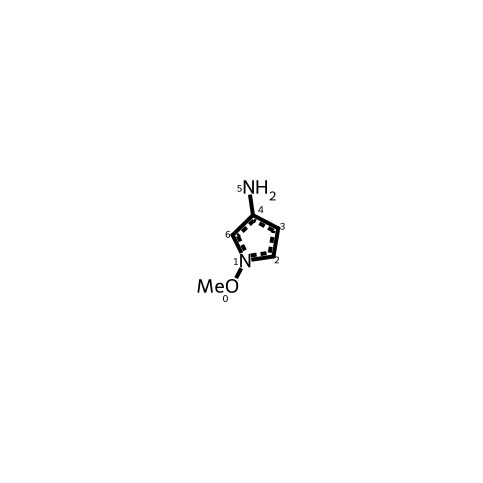 COn1ccc(N)c1